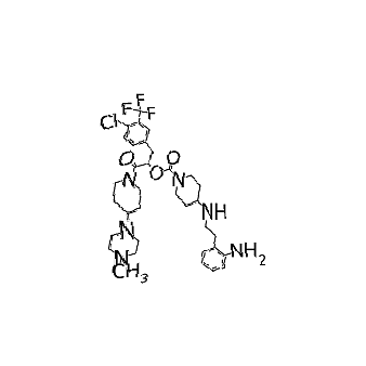 CN1CCN(C2CCN(C(=O)[C@@H](Cc3ccc(Cl)c(C(F)(F)F)c3)OC(=O)N3CCC(NCCc4ccccc4N)CC3)CC2)CC1